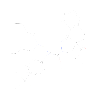 CCCCN(CCCC)SN(C(=O)N1CC2(C(=O)OC)CCc3ccccc3C2=N1)c1ccc(C(F)(F)F)cc1